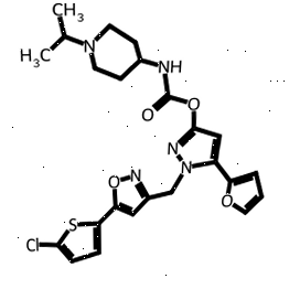 CC(C)N1CCC(NC(=O)Oc2cc(-c3ccco3)n(Cc3cc(-c4ccc(Cl)s4)on3)n2)CC1